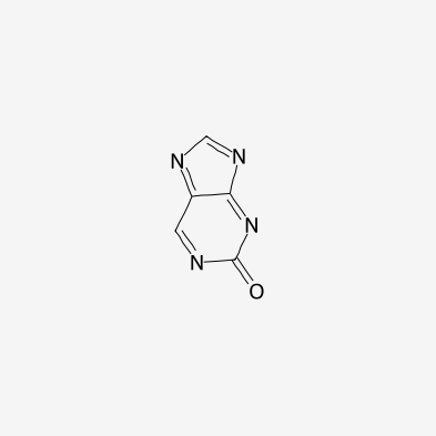 O=C1N=CC2=NC=NC2=N1